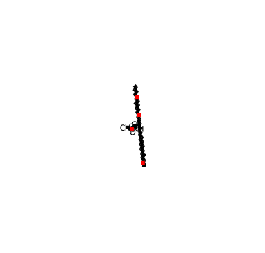 CCCCCCCCCCCCCCCCCCN(CCCCCCCCCCCCCCCCCC)C(=O)NS(=O)(=O)CCCl